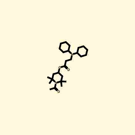 CC(=O)N1C(C)(C)CC(OC(=O)CCN(C2CCCCC2)C2CCCCC2)CC1(C)C